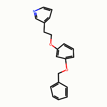 c1ccc(COc2cccc(OCCc3cccnc3)c2)cc1